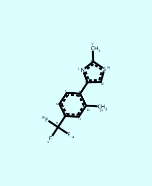 Cc1nc(-c2ccc(C(F)(F)F)cc2C)cs1